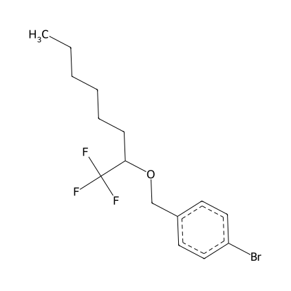 CCCCCCC(OCc1ccc(Br)cc1)C(F)(F)F